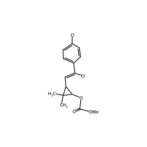 COC(=O)OC1C(C=C(Cl)c2ccc(Cl)cc2)C1(C)C